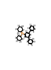 c1ccc(-c2cc(-c3ccccc3)cc(P(C3CCCCC3)C3CCCCC3)c2)cc1